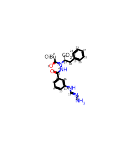 CC(C)COC(=O)N(NC(=O)c1cccc(NC=NN)c1)[C@@H](Cc1ccccc1)C(=O)O